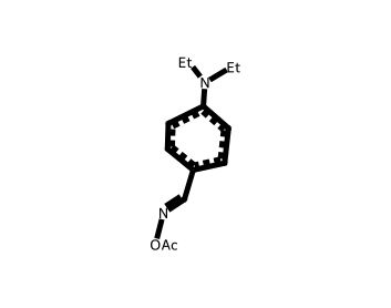 CCN(CC)c1ccc(C=NOC(C)=O)cc1